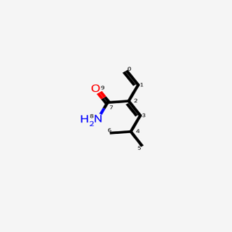 C=CC(=CC(C)C)C(N)=O